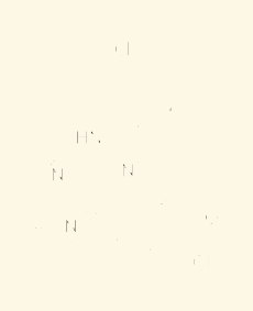 O=C(O)c1ccc2c(c1)nc(Nc1cccc(Cl)c1)c1nccnc12